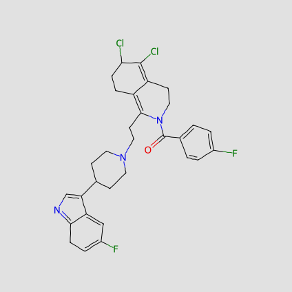 O=C(c1ccc(F)cc1)N1CCC2=C(Cl)C(Cl)CCC2=C1CCN1CCC(C2=CN=C3CC=C(F)C=C23)CC1